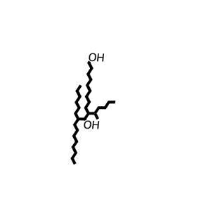 CCCCCCCCC(CCCCCC)C(O)C(CCCCCCCCCO)C(C)CCCC